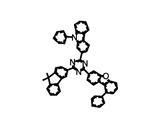 CC1(C)c2ccccc2-c2cc(-c3nc(-c4ccc5c(c4)oc4cccc(-c6ccccc6)c45)nc(-c4ccc5c6ccccc6n(-c6ccccc6)c5c4)n3)ccc21